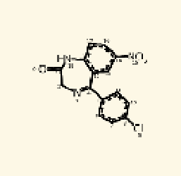 O=C1CN=C(c2ccc(Cl)cc2)c2cc([N+](=O)[O-])ccc2N1